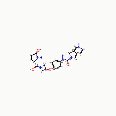 O=C1CC[C@@H](C(=O)N2CC(Oc3ccc(NC(=O)N4C=C5C=CNC=C5C4)cc3)C2)N1